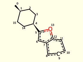 C[C@H]1CC[C@@H](c2cc3ccccc3o2)CC1